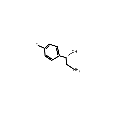 NC[C@@H](O)c1ccc(F)cc1